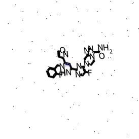 N=C(/C=C(\NCc1ccccc1F)c1ccon1)c1ncc(F)c(N2CCn3c(nnc3C(N)=O)C2)n1